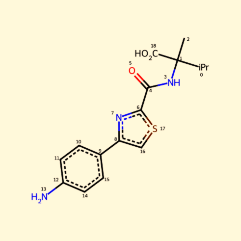 CC(C)C(C)(NC(=O)c1nc(-c2ccc(N)cc2)cs1)C(=O)O